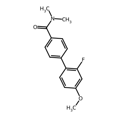 COc1ccc(-c2ccc(C(=O)N(C)C)cc2)c(F)c1